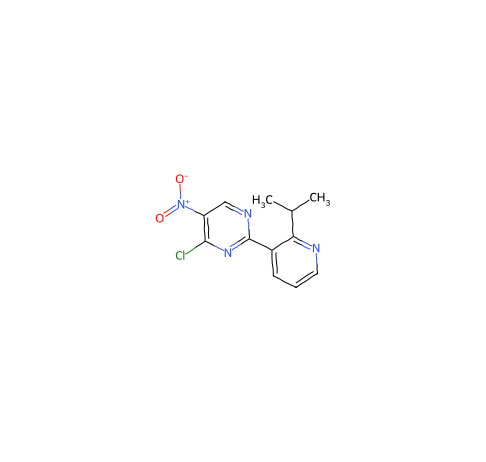 CC(C)c1ncccc1-c1ncc([N+](=O)[O-])c(Cl)n1